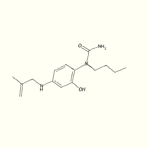 C=C(C)CNc1ccc(N(CCCC)C(N)=O)c(O)c1